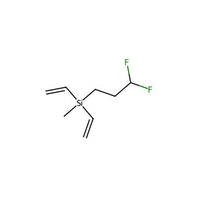 C=C[Si](C)(C=C)CCC(F)F